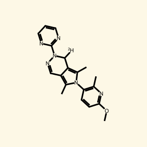 [2H]C1c2c(c(C)n(-c3ccc(OC)nc3C)c2C)C=NN1c1ncccn1